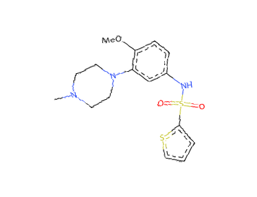 COc1ccc(NS(=O)(=O)c2cccs2)cc1N1CCN(C)CC1